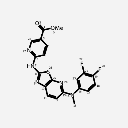 COC(=O)c1ccc(Nc2nc3ccc(N(C)c4ccc(F)c(F)c4)nc3s2)nc1